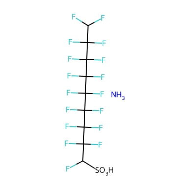 N.O=S(=O)(O)C(F)C(F)(F)C(F)(F)C(F)(F)C(F)(F)C(F)(F)C(F)(F)C(F)(F)C(F)F